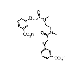 CN(CCN(C)C(=O)COc1cccc(C(=O)O)c1)C(=O)COc1cccc(C(=O)O)c1